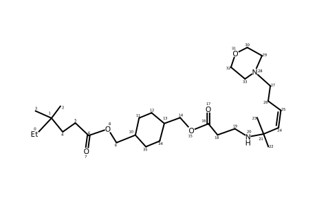 CCC(C)(C)CCC(=O)OCC1CCC(COC(=O)CCNC(C)(C)/C=C\CCN2CCOCC2)CC1